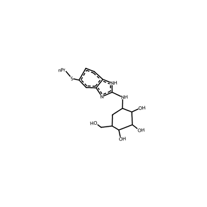 CCCSc1ccc2[nH]c(NC3CC(CO)C(O)C(O)C3O)nc2c1